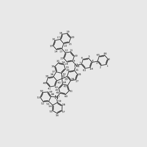 c1ccc(-c2ccc(N(c3ccc(-c4cccc5ccccc45)cc3)c3ccc4c(c3)C3(c5ccccc5-c5ccccc53)c3cc(-n5c6ccccc6c6ccccc65)ccc3-4)cc2)cc1